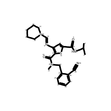 CC(C)NC(=O)c1cc(/N=C/N2CCCCC2)c(C(=O)N(C)Cc2ccccc2C#N)s1